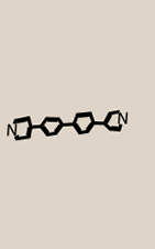 c1cc(-c2ccc(-c3ccc(-c4ccncc4)cc3)cc2)ccn1